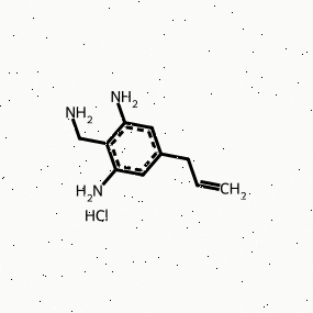 C=CCc1cc(N)c(CN)c(N)c1.Cl